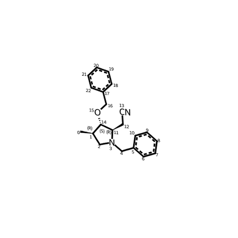 C[C@@H]1CN(Cc2ccccc2)[C@H](CC#N)[C@H]1OCc1ccccc1